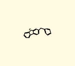 c1ccc(Cc2ccc3c(c2)sc2ccccc23)cc1